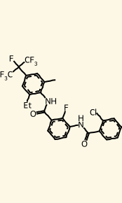 CCc1cc(C(F)(C(F)(F)F)C(F)(F)F)cc(C)c1NC(=O)c1cccc(NC(=O)c2ccccc2Cl)c1F